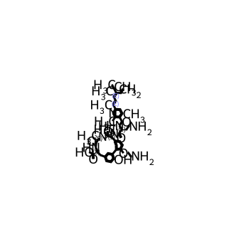 C=C/C(=C\C=C(/C)c1cc(C)c(C(=O)N[C@@H](CCN)C(=O)N(C)[C@@H]2C(=O)N[C@@H](C)C(=O)N[C@H](C(=O)O)Cc3ccc(O)c(c3)-c3cc2ccc3OCCN)c(C)n1)C(C)(C)C